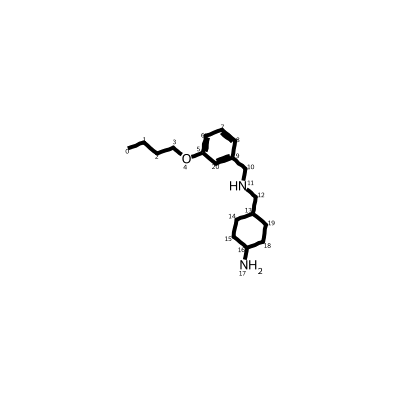 CCCCOc1cccc(CNCC2CCC(N)CC2)c1